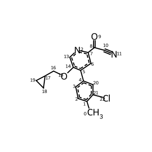 Cc1ccc(-c2cc(C(=O)C#N)ncc2OCC2CC2)cc1Cl